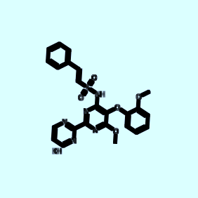 COc1ccccc1Oc1c(NS(=O)(=O)/C=C/c2ccccc2)nc(-c2ncccn2)nc1OC.[KH]